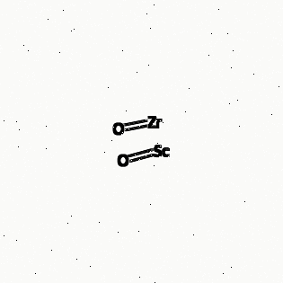 [O]=[Sc].[O]=[Zr]